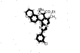 CCOC(=O)C(OC(C)(C)C)c1c(C)cn2cc(-c3cccc(Cl)c3)nc2c1-c1ccc2c(c1)CCCO2